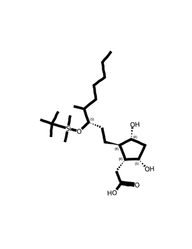 CCCCCC(C)[C@H](CC[C@@H]1[C@@H](CC(=O)O)[C@@H](O)C[C@H]1O)O[Si](C)(C)C(C)(C)C